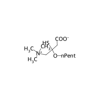 CCCCCOC(S)(CC(=O)[O-])C[N+](C)(C)C